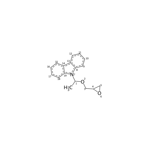 CC(OCC1CO1)n1c2ccccc2c2ccccc21